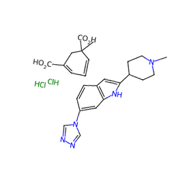 CC1(C(=O)O)C=CC=C(C(=O)O)C1.CN1CCC(c2cc3ccc(-n4cnnc4)cc3[nH]2)CC1.Cl.Cl